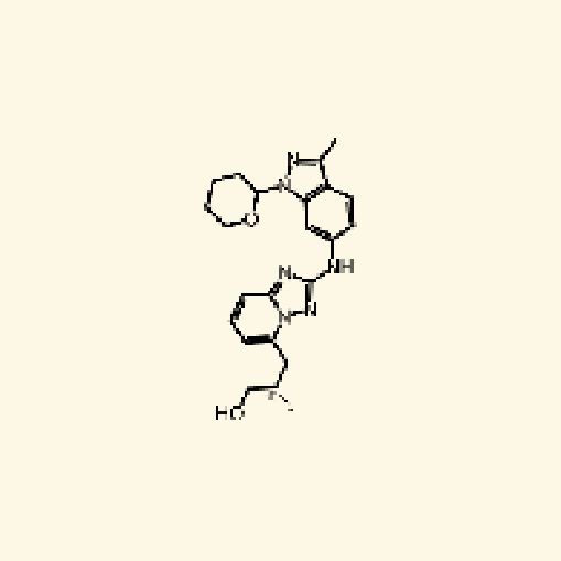 Cc1nn(C2CCCCO2)c2cc(Nc3nc4cccc(C[C@H](C)CO)n4n3)ccc12